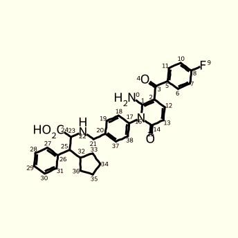 Nc1c(C(=O)c2ccc(F)cc2)ccc(=O)n1-c1ccc(CNC(C(=O)O)C(c2ccccc2)C2CCCC2)cc1